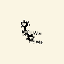 COc1cc(SC)ccc1-c1nnc(-c2cccnc2)o1